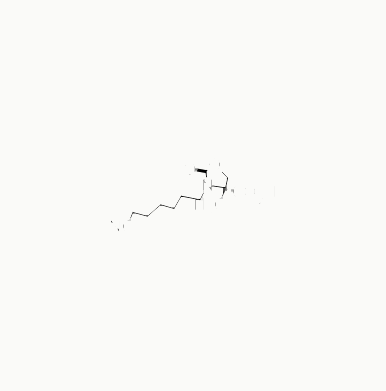 C[C@]1(C(=O)O)COC(=O)N1CCCCCCC#N